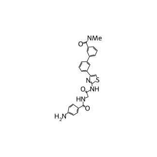 CNC(=O)c1cccc(-c2cccc(-c3csc(NC(=O)CNC(=O)c4ccc(N)cc4)n3)c2)c1